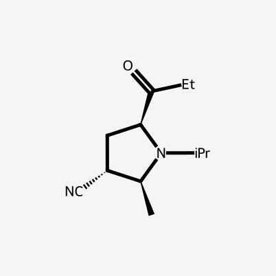 CCC(=O)[C@@H]1C[C@@H](C#N)[C@H](C)N1C(C)C